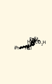 CCN(CC)C(C(=O)O)c1ccc(CNC(=O)CCCCC=CC(C)C)cc1OC.Cl